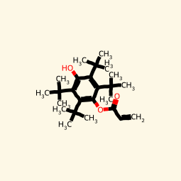 C=CC(=O)Oc1c(C(C)(C)C)c(C(C)(C)C)c(O)c(C(C)(C)C)c1C(C)(C)C